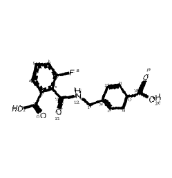 O=C(O)c1cccc(F)c1C(=O)NCC1=CCC(C(=O)O)C=C1